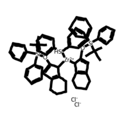 CC(C)(C)[Si](OC1=CC2=C(CCCC2)[CH]1[Zr+2]([CH]1C(O[Si](c2ccccc2)(c2ccccc2)C(C)(C)C)=CC2=C1CCCC2)[SiH](c1ccccc1)c1ccccc1)(c1ccccc1)c1ccccc1.[Cl-].[Cl-]